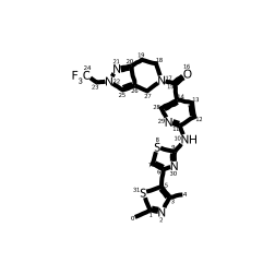 Cc1nc(C)c(-c2csc(Nc3ccc(C(=O)N4CCc5nn(CC(F)(F)F)cc5C4)cn3)n2)s1